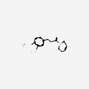 COc1ccc(CCC(=O)N2CCC=CC2=O)cc1N